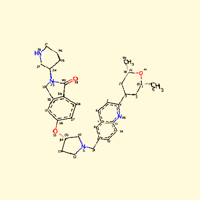 C[C@@H]1CC(c2ccc3cc(CN4CC[C@H](Oc5ccc6c(c5)CN(C5CCCNC5)C6=O)C4)ccc3n2)C[C@H](C)O1